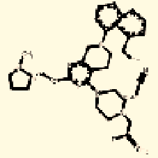 C=C(F)CN1CCN(c2nc(OC[C@@H]3CCCN3C)nc3c2CCN(c2cccc4cccc(CO)c24)C3)C[C@@H]1CC#N